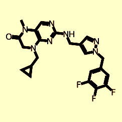 CN1C(=O)CN(CC2CC2)c2nc(NCc3cnn(Cc4cc(F)c(F)c(F)c4)c3)ncc21